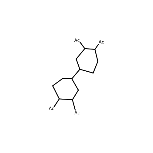 CC(=O)C1CCC(C2CCC(C(C)=O)C(C(C)=O)C2)CC1C(C)=O